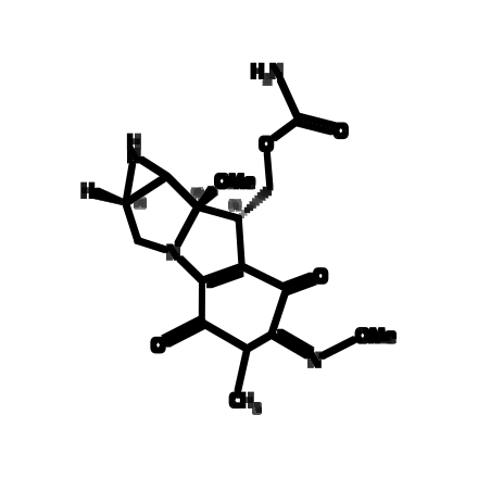 CON=C1C(=O)C2=C(C(=O)C1C)N1C[C@@H]3NC3[C@]1(OC)[C@@H]2COC(N)=O